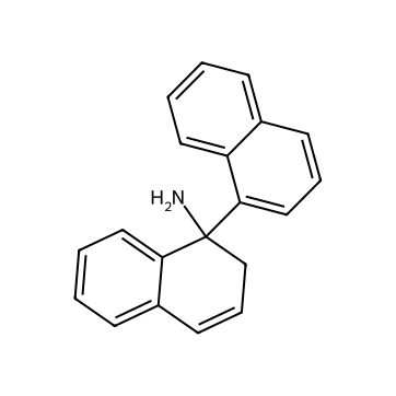 NC1(c2cccc3ccccc23)CC=Cc2ccccc21